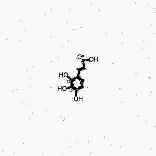 O=C(O)/C=C/c1ccc(O)c(O)c1O